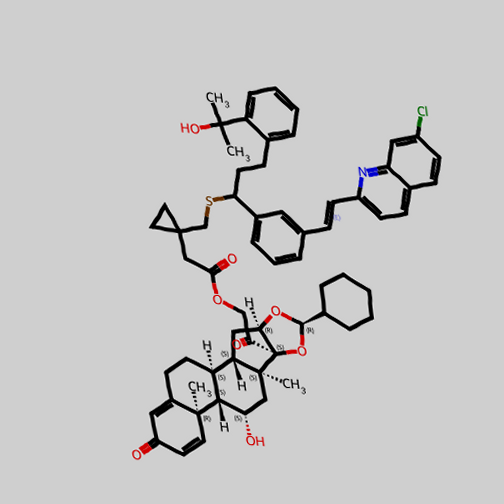 CC(C)(O)c1ccccc1CCC(SCC1(CC(=O)OCC(=O)[C@@]23O[C@H](C4CCCCC4)O[C@@H]2C[C@H]2[C@@H]4CCC5=CC(=O)C=C[C@]5(C)[C@H]4[C@@H](O)C[C@@]23C)CC1)c1cccc(/C=C/c2ccc3ccc(Cl)cc3n2)c1